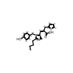 CCCCc1ncc(C=C(Cc2cccs2)C(=O)O)n1Cc1ccc(O)cc1